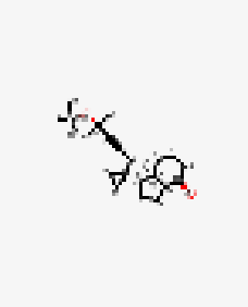 CC(C)(C#CCC1([C@H]2CCC3C(=O)CCC[C@@]32C)CC1)O[Si](C)(C)C